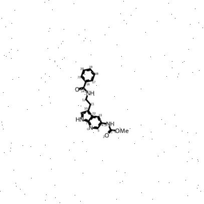 COC(=O)Nc1cnc2[nH]cc(CCNC(=O)c3ccccc3)c2c1